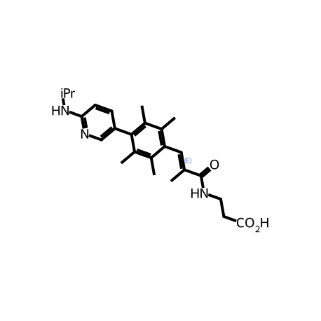 C/C(=C\c1c(C)c(C)c(-c2ccc(NC(C)C)nc2)c(C)c1C)C(=O)NCCC(=O)O